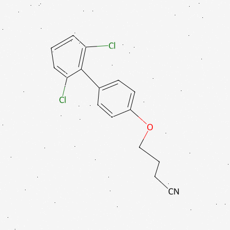 N#CCCCOc1ccc(-c2c(Cl)cccc2Cl)cc1